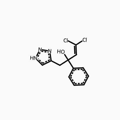 OC(C=C(Cl)Cl)(Cc1c[nH]nn1)c1ccccc1